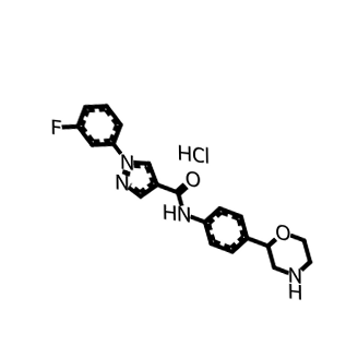 Cl.O=C(Nc1ccc(C2CNCCO2)cc1)c1cnn(-c2cccc(F)c2)c1